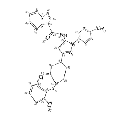 Cc1ccc(-n2nc(C3CCN(Sc4c(Cl)cccc4Cl)CC3)cc2NC(=O)c2cnn3cccnc23)cc1